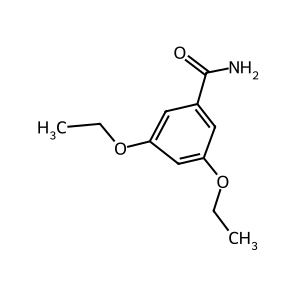 CCOc1cc(OCC)cc(C(N)=O)c1